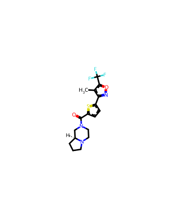 Cc1c(-c2ccc(C(=O)N3CCN4CCC[C@H]4C3)s2)noc1C(F)(F)F